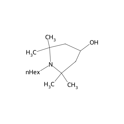 CCCCCCN1C(C)(C)CC(O)CC1(C)C